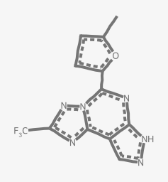 Cc1ccc(-c2nc3[nH]ncc3c3nc(C(F)(F)F)nn23)o1